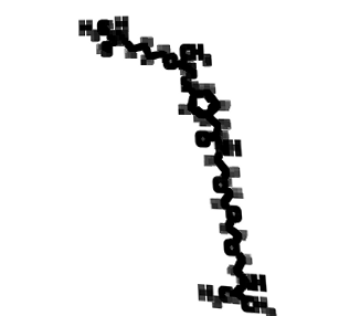 CC(C)NCCOCCOCCOCCNC(=O)Cc1ccc(SSC(C)OCCCCNS(C)=S)cc1